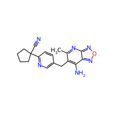 Cc1nc2nonc2c(N)c1Cc1ccc(C2(C#N)CCCC2)nc1